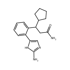 NC(=O)CC(c1ccccc1-c1cnc(N)[nH]1)C1CCCC1